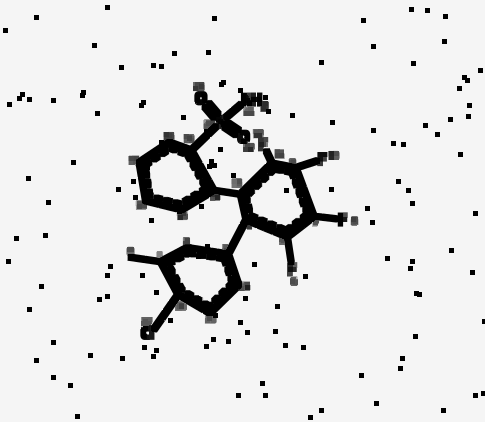 Cc1cc(-c2c(F)c(F)c(F)c(F)c2-c2ccccc2S(N)(=O)=O)ccc1Cl